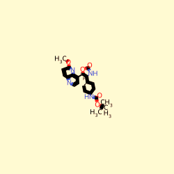 COc1ccc2nccc([C@H]3OC(=O)N[C@@H]3[C@H]3CC[C@H](NC(=O)OC(C)(C)C)CC3)c2n1